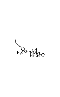 Cc1cc(C#CC#CCI)ccc1OCCCNC(=O)NNc1nc(-c2ccccc2)ns1